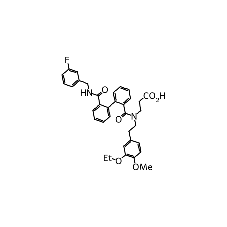 CCOc1cc(CCN(CCC(=O)O)C(=O)c2ccccc2-c2ccccc2C(=O)NCc2cccc(F)c2)ccc1OC